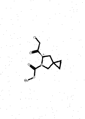 CC(C)(C)OC(=O)N1CC2(CC2)C[C@@H]1C(=O)CCl